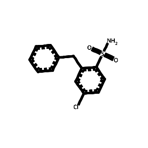 NS(=O)(=O)c1ccc(Cl)cc1Cc1ccccc1